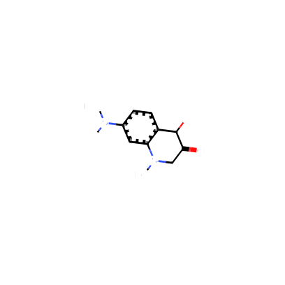 CN(C)c1ccc2c(c1)N(C)CC(=O)C2O